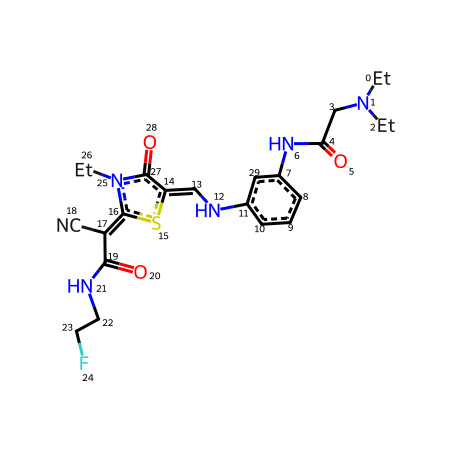 CCN(CC)CC(=O)Nc1cccc(NC=c2sc(=C(C#N)C(=O)NCCF)n(CC)c2=O)c1